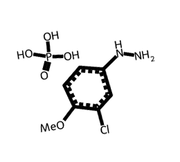 COc1ccc(NN)cc1Cl.O=P(O)(O)O